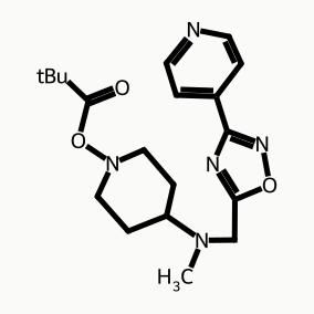 CN(Cc1nc(-c2ccncc2)no1)C1CCN(OC(=O)C(C)(C)C)CC1